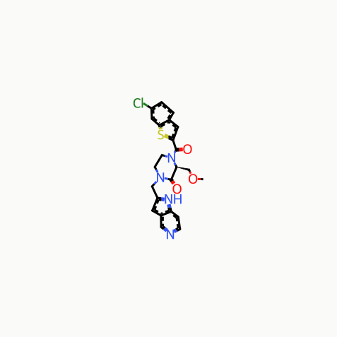 COC[C@H]1C(=O)N(Cc2cc3cnccc3[nH]2)CCN1C(=O)c1cc2ccc(Cl)cc2s1